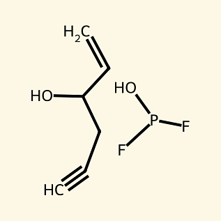 C#CCC(O)C=C.OP(F)F